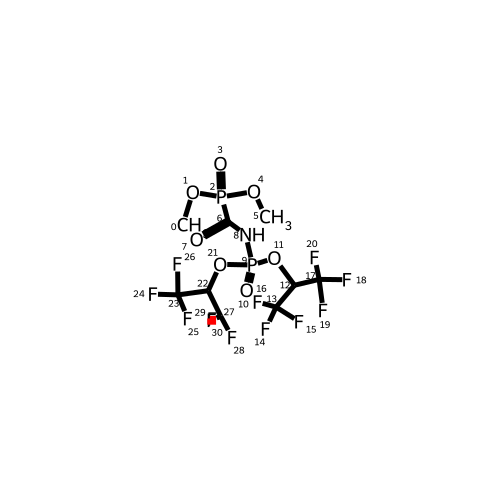 COP(=O)(OC)C(=O)NP(=O)(OC(C(F)(F)F)C(F)(F)F)OC(C(F)(F)F)C(F)(F)F